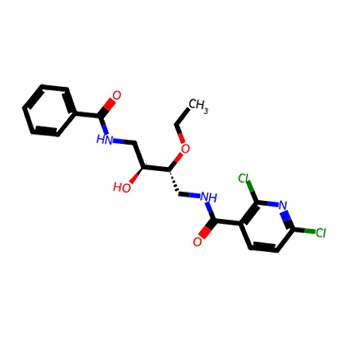 CCO[C@H](CNC(=O)c1ccc(Cl)nc1Cl)[C@@H](O)CNC(=O)c1ccccc1